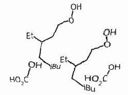 CCC(C)CC(CC)CCOO.CCC(C)CC(CC)CCOO.O=C(O)O.O=C(O)O